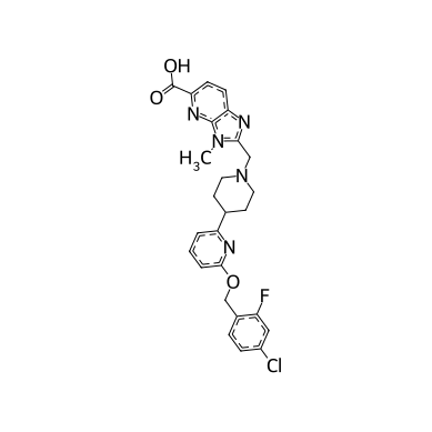 Cn1c(CN2CCC(c3cccc(OCc4ccc(Cl)cc4F)n3)CC2)nc2ccc(C(=O)O)nc21